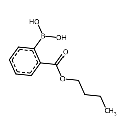 CCCCOC(=O)c1ccccc1B(O)O